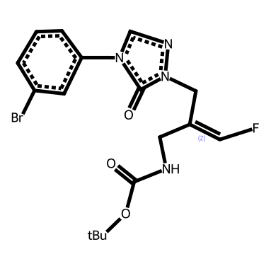 CC(C)(C)OC(=O)NC/C(=C/F)Cn1ncn(-c2cccc(Br)c2)c1=O